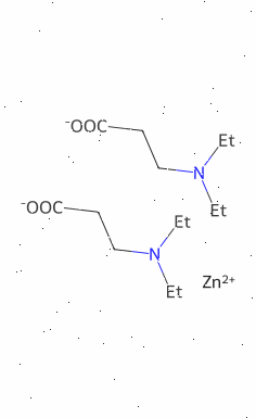 CCN(CC)CCC(=O)[O-].CCN(CC)CCC(=O)[O-].[Zn+2]